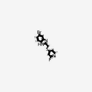 Fc1cc(SCc2nc3cc(Br)ccc3[nH]2)ccn1